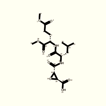 COC(=O)CC[C@H](NC(=O)[C@H](CC(C)C)NC(=O)[C@H]1O[C@@H]1C(=O)O)C(=O)OC